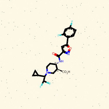 O=C(N[C@H]1CCN(C(C(F)F)C2CC2)C[C@@H]1C(=O)O)c1cc(-c2ccc(F)cc2F)on1